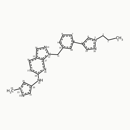 CCCn1cc(-c2cccc(Cn3ncc4cnc(Nc5cnn(C)c5)nc43)c2)cn1